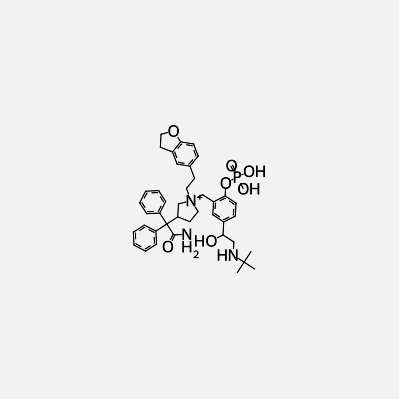 CC(C)(C)NCC(O)c1ccc(OP(=O)(O)O)c(C[N+]2(CCc3ccc4c(c3)CCO4)CCC(C(C(N)=O)(c3ccccc3)c3ccccc3)C2)c1